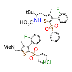 CNCc1sc(S(=O)(=O)c2ccccc2)c(-c2ccccc2F)c1C.Cc1c(CC(NC(=O)O)C(C)(C)C)sc(S(=O)(=O)c2ccccc2)c1-c1ccccc1F.Cl